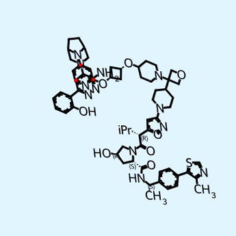 Cc1ncsc1-c1ccc([C@H](C)NC(=O)[C@@H]2C[C@@H](O)CN2C(=O)[C@@H](c2cc(N3CCC(C4(N5CCC(O[C@H]6C[C@H](Oc7cc(N8C9CCC8CN(c8cc(-c%10ccccc%10O)nnc8N)C9)ccn7)C6)CC5)COC4)CC3)no2)C(C)C)cc1